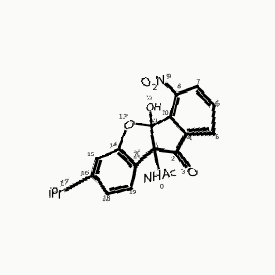 CC(=O)NC12C(=O)c3cccc([N+](=O)[O-])c3C1(O)Oc1cc(C(C)C)ccc12